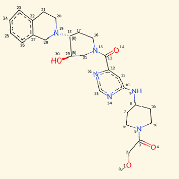 COCC(=O)N1CCC(Nc2cc(C(=O)N3CC[C@@H](N4CCc5ccccc5C4)[C@H](O)C3)ncn2)CC1